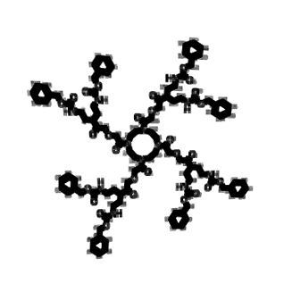 O=C(NCCC(CCNC(=O)OCc1ccccc1)C(=O)COCC(=O)N1CCN(C(=O)COCC(=O)C(CCNC(=O)OCc2ccccc2)CCNC(=O)OCc2ccccc2)CCN(C(=O)COCC(=O)C(CCNC(=O)OCc2ccccc2)CCNC(=O)OCc2ccccc2)CCN(C(=O)COCC(=O)C(CCNC(=O)OCc2ccccc2)CCNC(=O)OCc2ccccc2)CC1)OCc1ccccc1